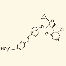 O=C(O)Cc1ccc(C=CC23CCC(OCc4c(-c5c(Cl)cncc5Cl)noc4C4CC4)(CC2)CC3)cc1